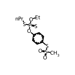 CCCSP(=S)(OCC)Oc1ccc(SS(C)(=O)=O)cc1